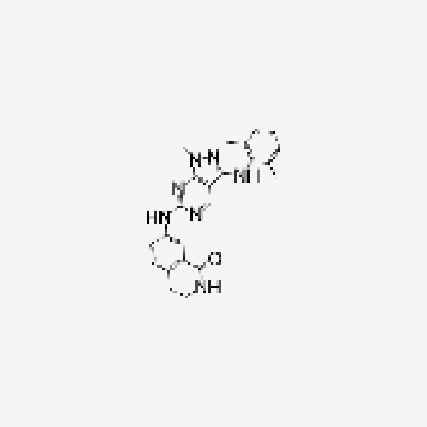 Cc1cccc(C)c1Nc1nn(C)c2nc(Nc3ccc4c(c3)C(=O)NCC4)ncc12